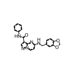 O=C(Nc1ccccc1)c1cnn2ccc(NCc3ccc4c(c3)OCO4)nc12